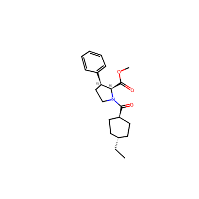 CC[C@H]1CC[C@H](C(=O)N2CC[C@@H](c3ccccc3)[C@H]2C(=O)OC)CC1